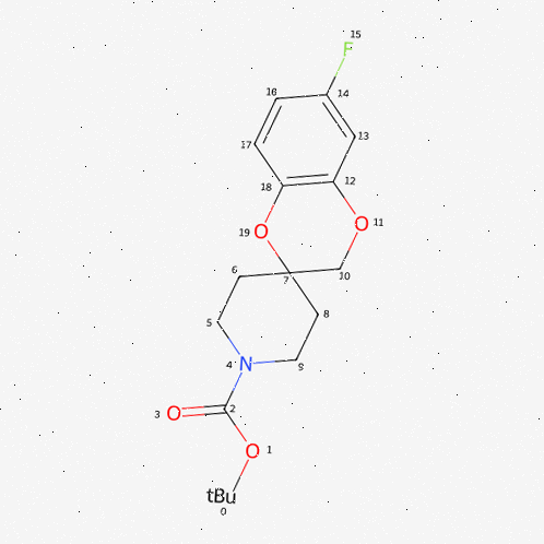 CC(C)(C)OC(=O)N1CCC2(CC1)COc1cc(F)ccc1O2